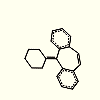 C1=Cc2ccccc2C(=C2CCCCC2)c2ccccc21